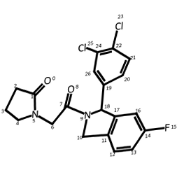 O=C1CCCN1CC(=O)N1Cc2ccc(F)cc2C1c1ccc(Cl)c(Cl)c1